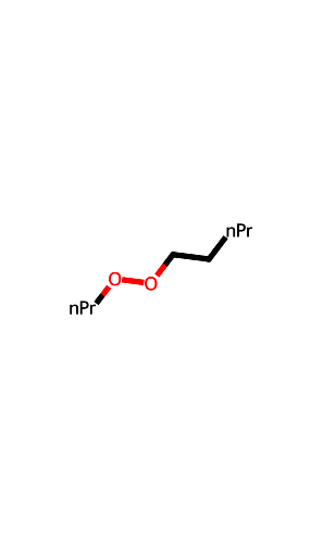 CCCCCOOCCC